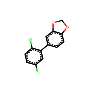 Clc1c[c]c(Cl)c(-c2ccc3c(c2)OCO3)c1